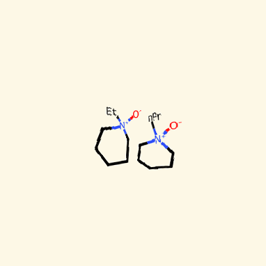 CCC[N+]1([O-])CCCCC1.CC[N+]1([O-])CCCCC1